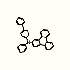 C1=C(c2ccccc2)CCC(N(c2ccccc2)c2ccc3c4c(c5ccccc5c3c2)=CCCC=4)=C1